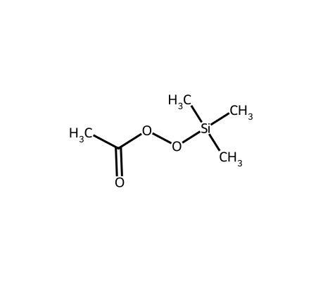 CC(=O)OO[Si](C)(C)C